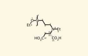 CCO[Si](C)(C)CCCN(CC)[C@@H](CC(=O)O)C(=O)O